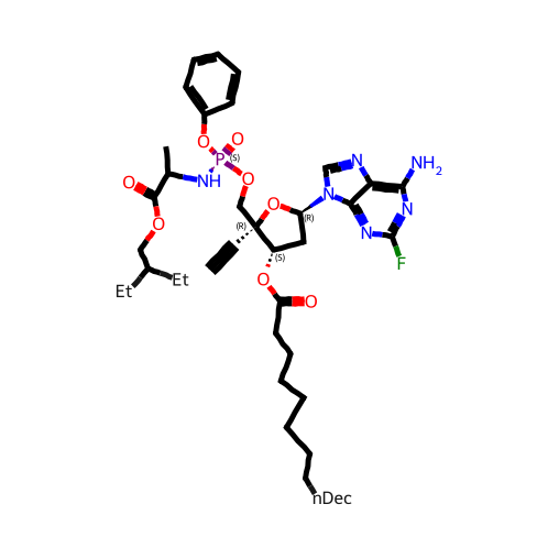 C#C[C@]1(CO[P@@](=O)(NC(C)C(=O)OCC(CC)CC)Oc2ccccc2)O[C@@H](n2cnc3c(N)nc(F)nc32)C[C@@H]1OC(=O)CCCCCCCCCCCCCCCCC